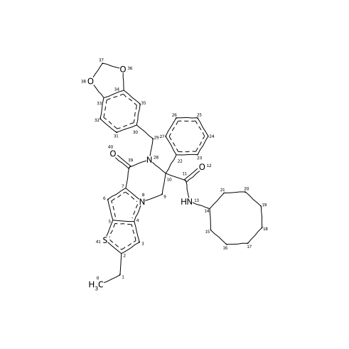 CCc1cc2c(cc3n2CC(C(=O)NC2CCCCCCC2)(c2ccccc2)N(Cc2ccc4c(c2)OCO4)C3=O)s1